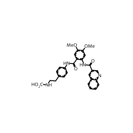 COc1cc(NC(=O)c2cnc3ccccc3c2)c(C(=O)Nc2ccc(CCNC(=O)O)cc2)cc1OC